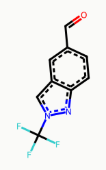 O=Cc1ccc2nn(C(F)(F)F)cc2c1